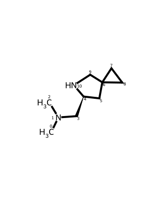 CN(C)C[C@@H]1CC2(CC2)CN1